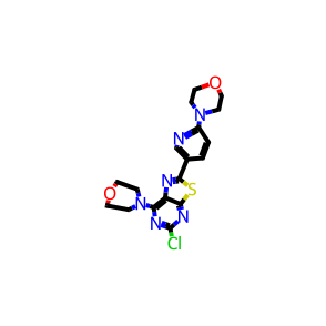 Clc1nc(N2CCOCC2)c2nc(-c3ccc(N4CCOCC4)nc3)sc2n1